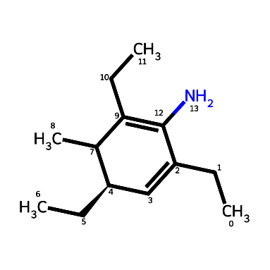 CCC1=C[C@@H](CC)C(C)C(CC)=C1N